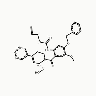 C=CCOC(=O)Nc1cc(OCc2ccccc2)c(OC)cc1C(=O)N1CCC(c2cncnc2)=C[C@H]1CO